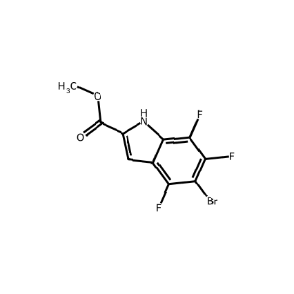 COC(=O)c1cc2c(F)c(Br)c(F)c(F)c2[nH]1